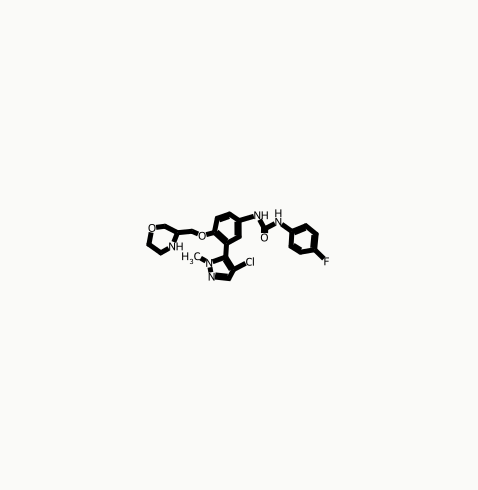 Cn1ncc(Cl)c1-c1cc(NC(=O)Nc2ccc(F)cc2)ccc1OCC1COCCN1